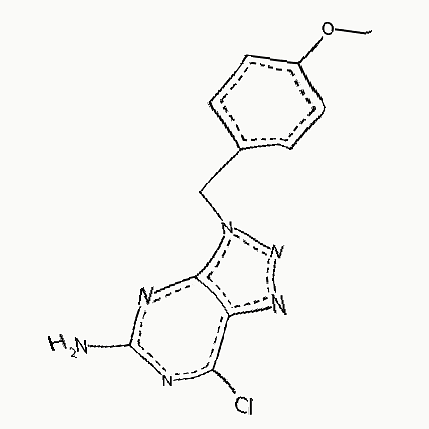 COc1ccc(Cn2nnc3c(Cl)nc(N)nc32)cc1